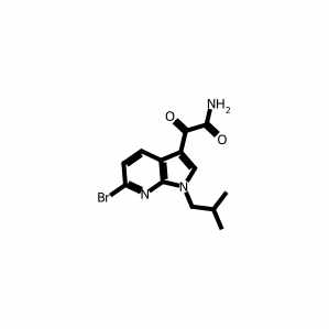 CC(C)Cn1cc(C(=O)C(N)=O)c2ccc(Br)nc21